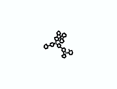 CC1CC=CC=C1n1c2ccccc2c2cc(-c3ccc(N(c4ccc(-c5ccccc5)cc4)c4ccc5c(c4)C4(c6ccccc6-c6ccccc64)c4ccccc4-5)cc3)ccc21